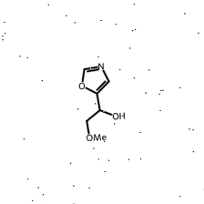 COCC(O)c1cnco1